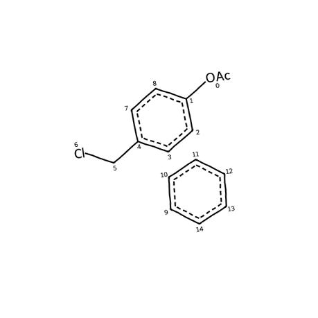 CC(=O)Oc1ccc(CCl)cc1.c1ccccc1